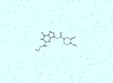 CCNc1nc2c(ncn2CC(=O)N2CCN(C)C(=O)C2)c(=O)[nH]1